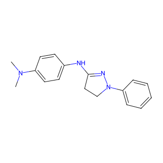 CN(C)c1ccc(NC2=NN(c3ccccc3)CC2)cc1